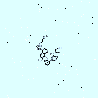 COCCCS(=O)(=O)Nc1cccc2c(Oc3ncccc3-c3ccnc(N[C@H]4CCCNC4)n3)c(C)ccc12